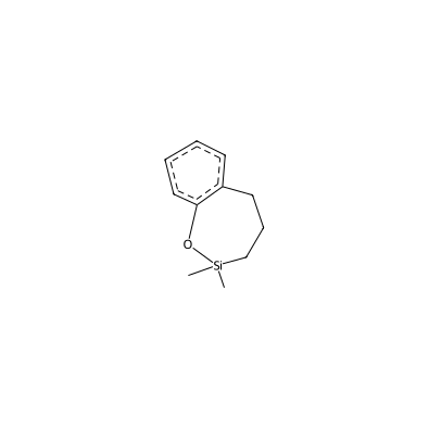 C[Si]1(C)CCCc2ccccc2O1